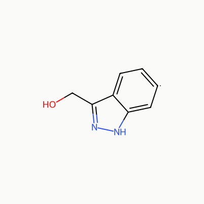 OCc1n[nH]c2c[c]ccc12